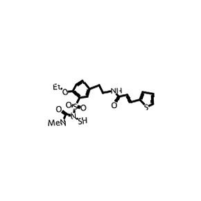 CCOc1ccc(CCNC(=O)/C=C/c2cccs2)cc1S(=O)(=O)N(S)C(=O)NC